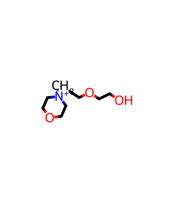 C[N+]1(CCOCCO)CCOCC1